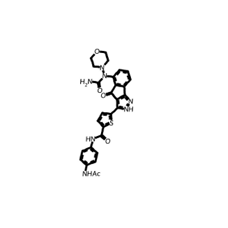 CC(=O)Nc1ccc(NC(=O)c2ccc(-c3[nH]nc4c3C(=O)c3c-4cccc3N(C(N)=O)N3CCOCC3)s2)cc1